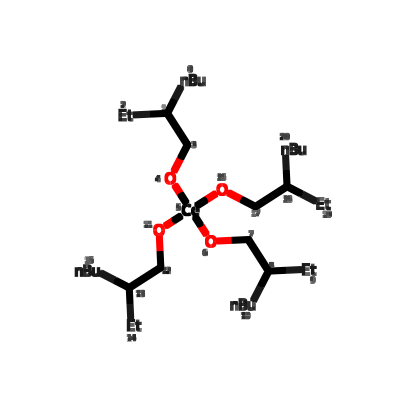 CCCCC(CC)C[O][Ce]([O]CC(CC)CCCC)([O]CC(CC)CCCC)[O]CC(CC)CCCC